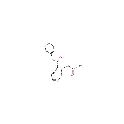 O=C(O)Cc1ccccc1C(O)Cc1ccccc1